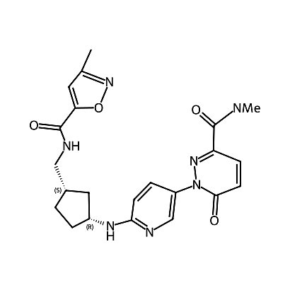 CNC(=O)c1ccc(=O)n(-c2ccc(N[C@@H]3CC[C@H](CNC(=O)c4cc(C)no4)C3)nc2)n1